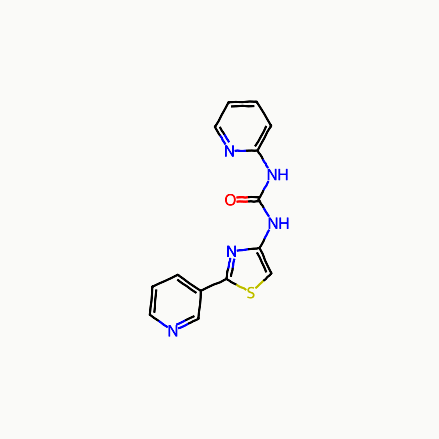 O=C(Nc1ccccn1)Nc1csc(-c2cccnc2)n1